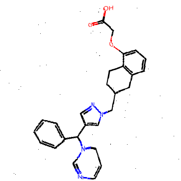 O=C(O)COc1cccc2c1CCC(Cn1cc(C(c3ccccc3)N3C=NC=CC3)cn1)C2